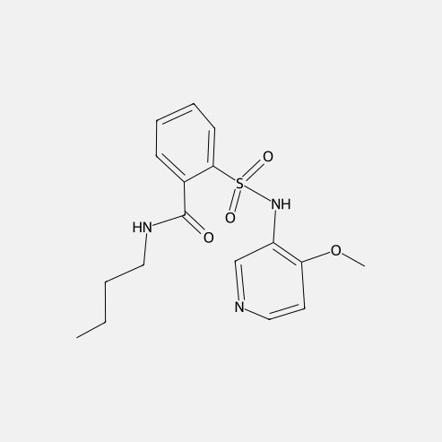 CCCCNC(=O)c1ccccc1S(=O)(=O)Nc1cnccc1OC